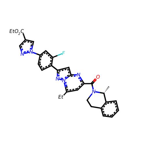 CCOC(=O)c1cnn(-c2ccc(-c3cc4nc(C(=O)N5CCc6ccccc6[C@H]5C)cc(CC)n4n3)c(F)c2)c1